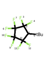 CC(C)(C)C1C(F)(F)C(F)(F)C(F)(F)C1(F)F